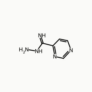 N=C(NN)c1ccncn1